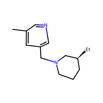 CC[C@H]1CCCN(Cc2cncc(C)c2)C1